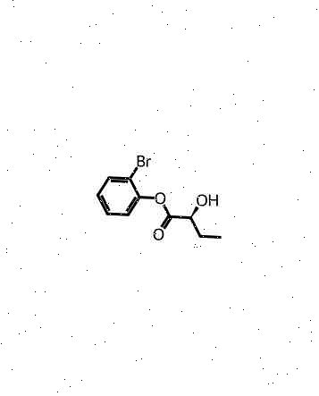 CC[C@H](O)C(=O)Oc1ccccc1Br